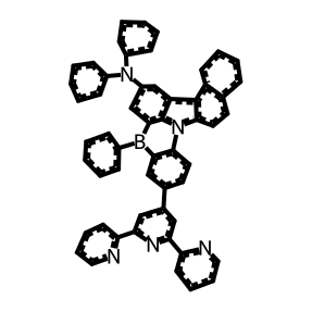 c1ccc(B2c3cc(-c4cc(-c5ccccn5)nc(-c5ccccn5)c4)ccc3-n3c4ccc5ccccc5c4c4cc(N(c5ccccc5)c5ccccc5)cc2c43)cc1